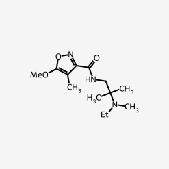 CCN(C)C(C)(C)CNC(=O)c1noc(OC)c1C